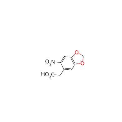 O=C(O)Cc1cc2c(cc1[N+](=O)[O-])OCO2